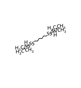 CC(C)(C)NSSSCCCCCCSSSNC(C)(C)C